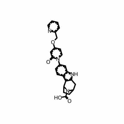 O=C(O)N1C2CCC1c1c([nH]c3cc(-n4ccc(OCc5ccccn5)cc4=O)ccc13)C2